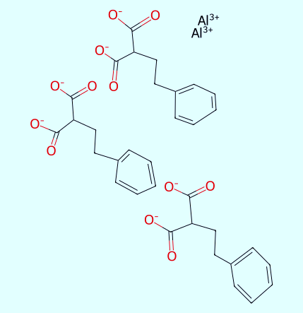 O=C([O-])C(CCc1ccccc1)C(=O)[O-].O=C([O-])C(CCc1ccccc1)C(=O)[O-].O=C([O-])C(CCc1ccccc1)C(=O)[O-].[Al+3].[Al+3]